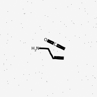 C=C=O.C=CCN